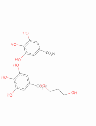 O=C(O)c1cc(O)c(O)c(O)c1.O=C(O)c1cc(O)c(O)c(O)c1.OCCCO